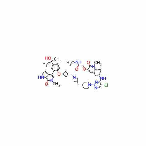 CNC(=O)COc1cc2cc(Nc3nc(N4CCC(CC5CN(CC6CC(Oc7ccc(C(C)(C)O)cc7-c7cn(C)c(=O)c8[nH]ccc78)C6)C5)CC4)ncc3Cl)ccc2n(C)c1=O